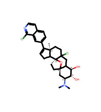 CN(C)[C@H]1C[C@@]23CC[C@]4(O2)C2CC=C(c5ccc6ccnc(Cl)c6c5)[C@@]2(C)CCC4(Cl)CC3[C@@H](O)[C@@H]1O